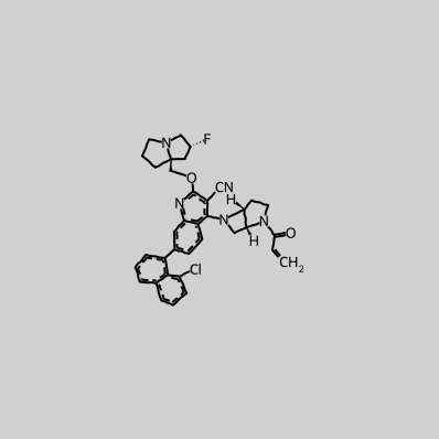 C=CC(=O)N1CC[C@@H]2[C@H]1CN2c1c(C#N)c(OC[C@@]23CCCN2C[C@H](F)C3)nc2cc(-c3cccc4cccc(Cl)c34)ccc12